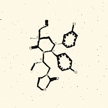 C=CC[C@@]1(C)C[C@H](c2cccc(Cl)c2)[C@@H](c2ccc(Cl)cc2)N([C@@H](CC)CN2CCOC2=O)C1=O